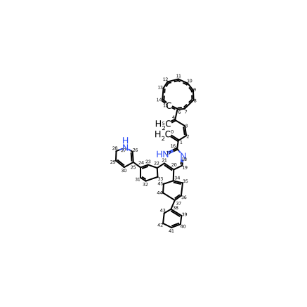 C=C(/C=C\C(=C)c1ccccccccc1)C(=N)/N=C\C(=C\C1C=C(C2=CNCC=C2)C=CC1)C1=CC=C(C2=CC=CCC2)CC1